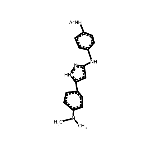 CC(=O)Nc1ccc(Nc2cc(-c3ccc(N(C)C)cc3)[nH]n2)cc1